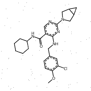 COc1ccc(CNc2nc(N3CC4CC4C3)ncc2C(=O)NC2CCCCC2)cc1Cl